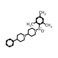 Cc1cc(C)c([S@+]([O-])N2CCC(N3CCC(c4ccccc4)CC3)CC2)c(C)c1